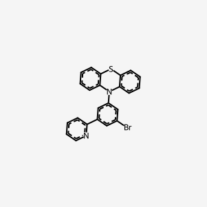 Brc1cc(-c2ccccn2)cc(N2c3ccccc3Sc3ccccc32)c1